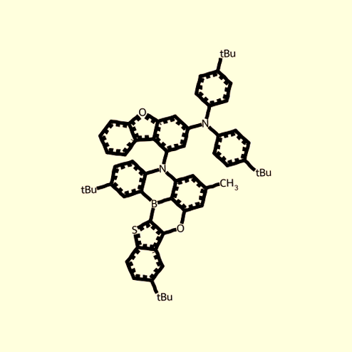 Cc1cc2c3c(c1)N(c1cc(N(c4ccc(C(C)(C)C)cc4)c4ccc(C(C)(C)C)cc4)cc4oc5ccccc5c14)c1ccc(C(C)(C)C)cc1B3c1sc3ccc(C(C)(C)C)cc3c1O2